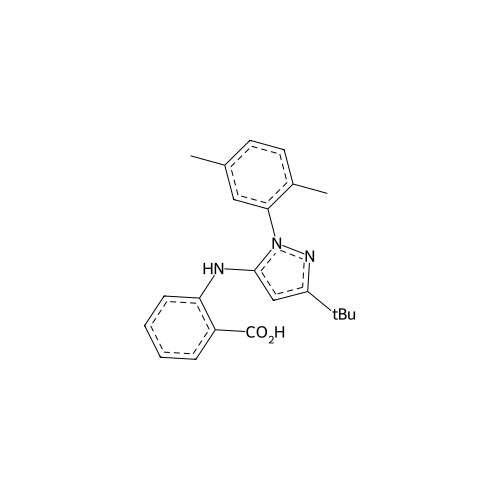 Cc1ccc(C)c(-n2nc(C(C)(C)C)cc2Nc2ccccc2C(=O)O)c1